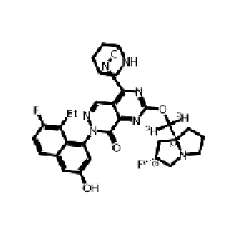 [2H]C([2H])(Oc1nc(N2CC3CCC2CN3)c2cnn(-c3cc(O)cc4ccc(F)c(CC)c34)c(=O)c2n1)[C@@]12CCCN1C[C@H](F)C2